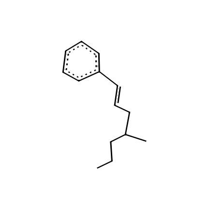 CCCC(C)CC=Cc1ccccc1